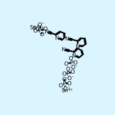 N#Cc1ccccn1.N#Cc1ccccn1.N#Cc1ccccn1.O=P([O-])([O-])[O-].O=P([O-])([O-])[O-].O=P([O-])([O-])[O-].O=P([O-])([O-])[O-].[Sn+4].[Sn+4].[Sn+4]